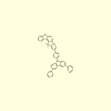 CC1(C)c2cc(-c3ccc(-n4c5ccc(-c6ccccc6)cc5c5cc(-c6ccccc6)ccc54)cc3)ccc2-c2ccc3oc4ccccc4c3c21